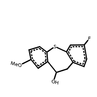 COc1ccc2c(c1)C(O)Cc1ccc(F)cc1S2